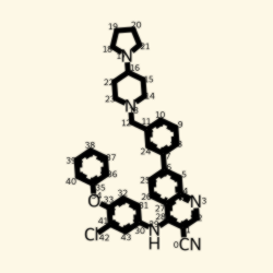 N#Cc1cnc2cc(-c3cccc(CN4CCC(N5CCCC5)CC4)c3)ccc2c1Nc1ccc(Oc2ccccc2)c(Cl)c1